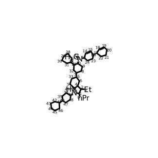 CCCC1C(CC)C2CC(C3CCC(N(C)C4C=C[C@@H](C5C=CCCC5)CC4)C(C4CCCCC4)C3)CC[C@@H]2N1C1CCC(C2CCCCC2)CC1